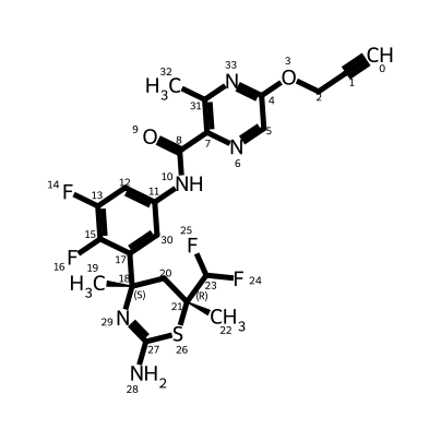 C#CCOc1cnc(C(=O)Nc2cc(F)c(F)c([C@]3(C)C[C@](C)(C(F)F)SC(N)=N3)c2)c(C)n1